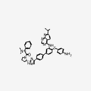 CC(C)c1ccc2c(Nc3cc(-c4ccc(-c5c[nH]c([C@@H]6CCCN6C(=O)[C@@H](c6ccccc6)N(C)C)n5)cc4)ccc3Sc3ccc(N)cc3)ncnc2n1